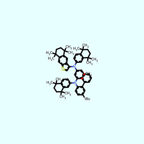 Cc1cc(N(c2ccc3c(c2)C(C)(C)CCC3(C)C)c2ccc(C(C)(C)C)cc2-c2ccccc2)cc(N(c2ccc3c(c2)C(C)(C)CCC3(C)C)c2csc3cc4c(cc23)C(C)(C)CCC4(C)C)c1